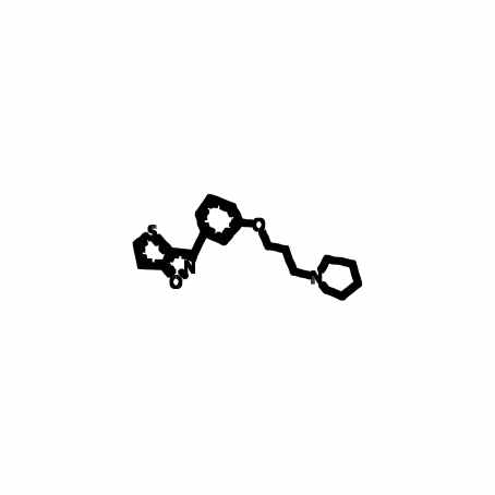 c1cc(OCCCN2CCCCC2)cc(-c2noc3ccsc23)c1